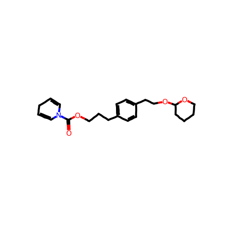 O=C(OCCCc1ccc(CCOC2CCCCO2)cc1)N1C=CCC=C1